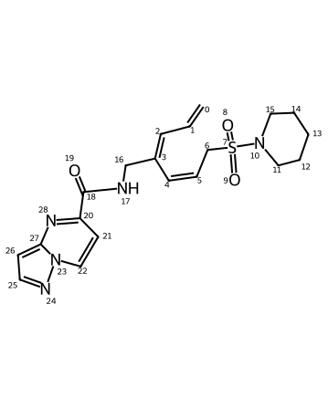 C=C/C=C(\C=C/CS(=O)(=O)N1CCCCC1)CNC(=O)c1ccn2nccc2n1